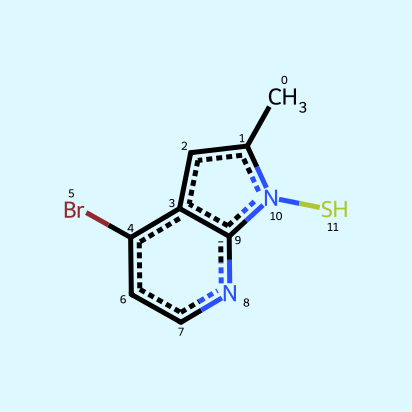 Cc1cc2c(Br)ccnc2n1S